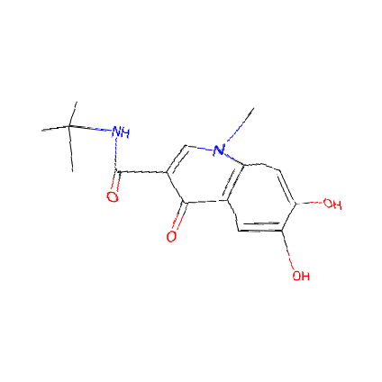 Cn1cc(C(=O)NC(C)(C)C)c(=O)c2cc(O)c(O)cc21